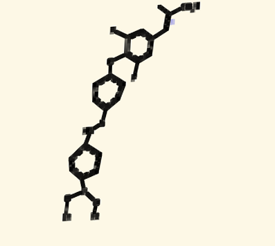 CCOP(OCC)c1ccc(NSc2ccc(Oc3c(F)cc(/C=C(\C)C(=O)O)cc3F)cc2)cc1